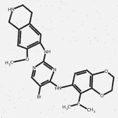 COc1cc2c(cc1Nc1ncc(Br)c(Nc3ccc4c(c3P(C)C)OCCO4)n1)CCNC2